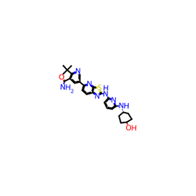 CC(C)(C)c1ncc(-c2ccc3nc(Nc4cccc(N[C@H]5CC[C@H](O)CC5)n4)sc3n2)cc1C(N)=O